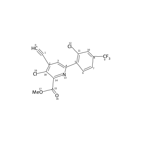 C#Cc1cc(-c2ccc(C(F)(F)F)cc2Cl)nc(C(=O)OC)c1Cl